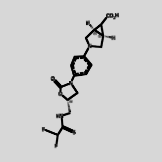 O=C(O)C1[C@H]2CN(c3ccc(N4C[C@H](CNC(=S)C(F)F)OC4=O)cc3)C[C@@H]12